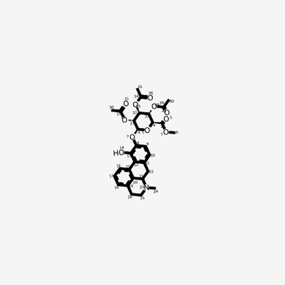 COC(=O)[C@H]1O[C@@H](Oc2ccc3c(c2O)-c2cccc4c2C(C3)N(C)CC4)[C@H](OC(C)=O)[C@@H](OC(C)=O)[C@@H]1OC(C)=O